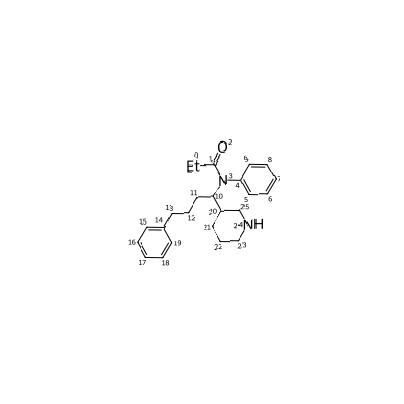 CCC(=O)N(c1ccccc1)C(CCCc1ccccc1)C1CCCNC1